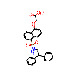 O=C(O)COc1cccc2c(S(=O)(=O)NCC(c3ccccc3)c3ccccc3)cccc12